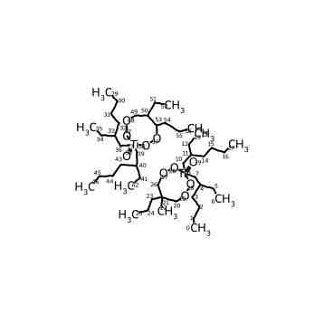 CCCCC(CC)[CH2][Ti]1(=[O])([CH2]C(CC)CCCC)[O]OCC(C)(CCC)CO[O]1.CCCCC(CC)[CH2][Ti]1(=[O])([CH2]C(CC)CCCC)[O]OCC(CC)C(CCC)O[O]1